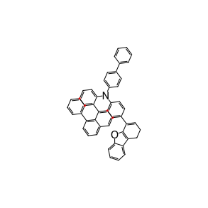 C1=C(c2ccc(N(c3ccc(-c4ccccc4)cc3)c3ccccc3-c3cccc4cccc(-c5ccccc5)c34)cc2)c2oc3ccccc3c2CC1